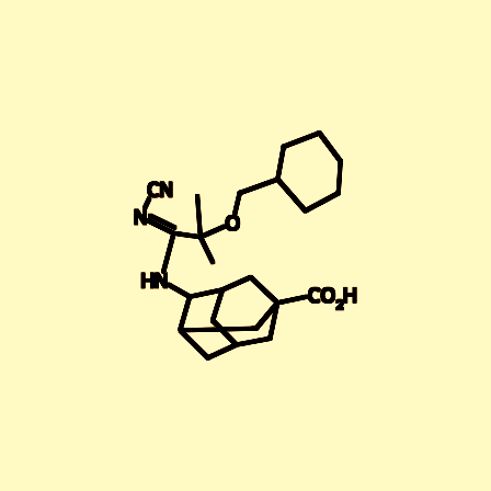 CC(C)(OCC1CCCCC1)/C(=N\C#N)NC1C2CC3CC1CC(C(=O)O)(C3)C2